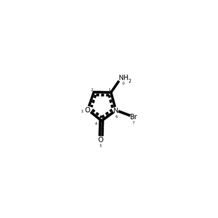 Nc1coc(=O)n1Br